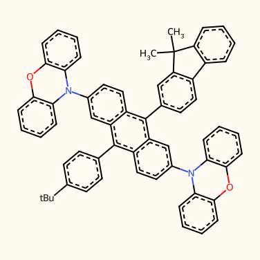 CC(C)(C)c1ccc(-c2c3ccc(N4c5ccccc5Oc5ccccc54)cc3c(-c3ccc4c(c3)C(C)(C)c3ccccc3-4)c3ccc(N4c5ccccc5Oc5ccccc54)cc23)cc1